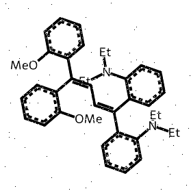 CCN(CC)c1ccccc1C(=[C]C=C(c1ccccc1OC)c1ccccc1OC)c1ccccc1N(CC)CC